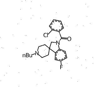 CCCCN1CCC2(CC1)CN(C(=O)c1ccccc1Cl)c1ccc(F)cc12